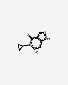 Cl.O=c1c2cn[nH]c2ccn1C1CC1